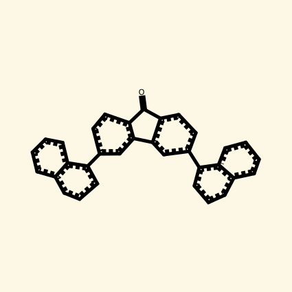 O=C1c2ccc(-c3cccc4ccccc34)cc2-c2cc(-c3cccc4ccccc34)ccc21